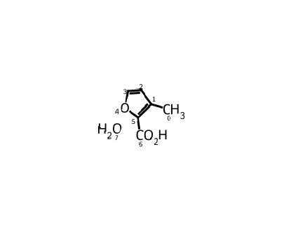 Cc1ccoc1C(=O)O.O